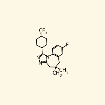 CC1(C)Cc2cc(F)ccc2-n2c(nnc2[C@H]2CC[C@H](C(F)(F)F)CC2)C1